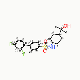 CC(C)(O)[C@H]1CC[C@@H](NS(=O)(=O)c2ccc(-c3ccc(F)cc3F)cc2)CC1